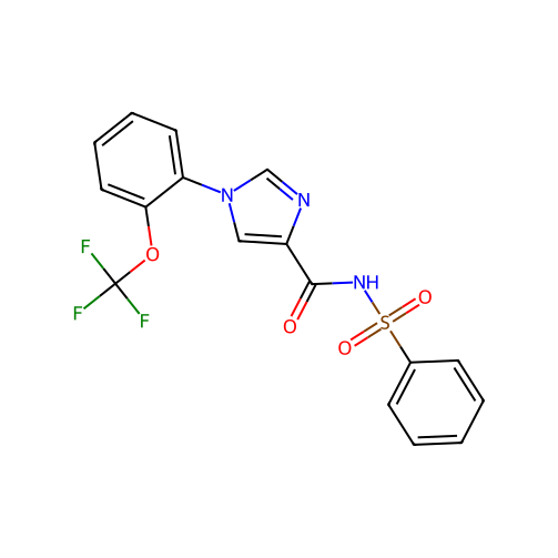 O=C(NS(=O)(=O)c1ccccc1)c1cn(-c2ccccc2OC(F)(F)F)cn1